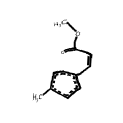 COC(=O)/C=C\c1ccc(C)cc1